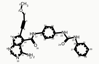 COCC#Cc1sc2ncnc(N)c2c1C(=O)Nc1ccc(NC(=O)Nc2ccccc2)cc1